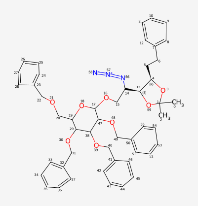 CC1(C)O[C@H](CCc2ccccc2)[C@H](C(COC2OC(COCc3ccccc3)C(OCc3ccccc3)C(OCc3ccccc3)C2OCc2ccccc2)N=[N+]=[N-])O1